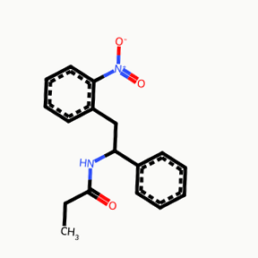 CCC(=O)NC(Cc1ccccc1[N+](=O)[O-])c1ccccc1